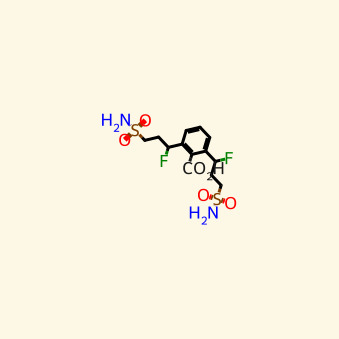 NS(=O)(=O)CCC(F)c1cccc(C(F)CCS(N)(=O)=O)c1C(=O)O